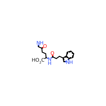 N=CC(=O)CCC(NC(=O)CCc1c[nH]c2ccccc12)C(=O)O